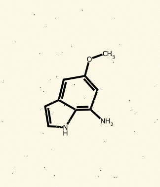 COc1cc(N)c2[nH]ccc2c1